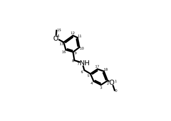 COc1ccc(CNCc2cccc(OC)c2)cc1